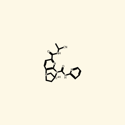 CC(C#N)NC(=O)c1ccc2c(n1)N(C(=O)Nc1ccccn1)[C@H]1CCN2C1